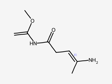 C=C(NC(=O)C/C=C(\C)N)OC